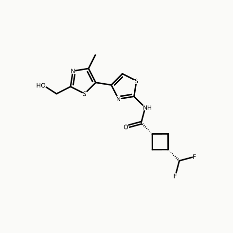 Cc1nc(CO)sc1-c1csc(NC(=O)[C@H]2C[C@@H](C(F)F)C2)n1